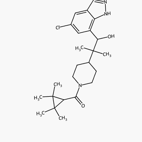 CC(C)(C1CCN(C(=O)C2C(C)(C)C2(C)C)CC1)C(O)c1cc(Cl)cc2cn[nH]c12